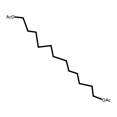 CC(=O)OCCCCCCCCCCCCOC(C)=O